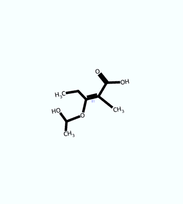 CC/C(OC(C)O)=C(/C)C(=O)O